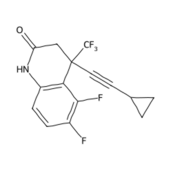 O=C1CC(C#CC2CC2)(C(F)(F)F)c2c(ccc(F)c2F)N1